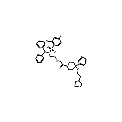 O=C(COCCN(C(c1ccccc1)c1ccccc1)S(=O)(=O)c1ccc(Cl)cc1Cl)N1CCC(OCCN2CCCC2)(c2cccnc2)CC1